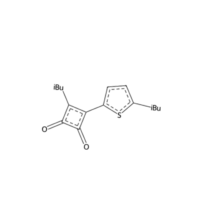 CCC(C)c1ccc(-c2c(C(C)CC)c(=O)c2=O)s1